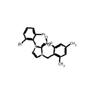 Cc1cc(C)c(Cn2ccn(-c3c(C(C)C)cccc3C(C)C)[c]2=[Ag-2][Cl])c(C)c1